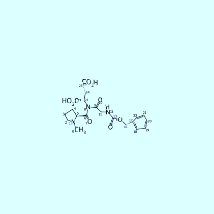 CN1CCC[C@H]1C(=O)N(C(=O)CNC(=O)OCc1ccccc1)[C@@H](CCC(=O)O)C(=O)O